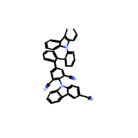 C/C=C\c1c(C)c2ccccc2n1-c1ccccc1-c1ccccc1-c1cc(C#N)c(-n2c3ccccc3c3cc(C#N)ccc32)c(C#N)c1